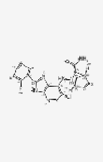 NC(=O)[C@@H]1[C@H](Nc2c(Cl)cnc3[nH]c(-c4ccccc4F)nc23)[C@H]2C=C[C@@H]1C2